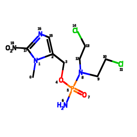 Cn1c(COP(N)(=O)N(CCCl)CCCl)cnc1[N+](=O)[O-]